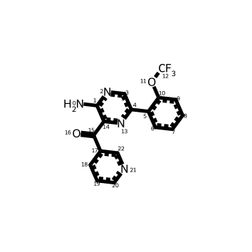 Nc1ncc(-c2ccccc2OC(F)(F)F)nc1C(=O)c1cccnc1